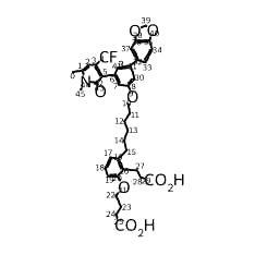 Cc1cc(C(F)(F)F)c(-c2cc(OCCCCCCc3cccc(OCCCC(=O)O)c3CCC(=O)O)cc(-c3ccc4c(c3)OCO4)c2)c(=O)n1C